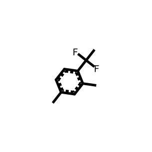 Cc1ccc(C(C)(F)F)c(C)c1